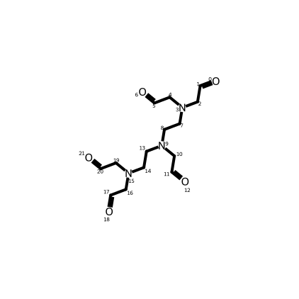 O=CCN(CC=O)CCN(CC=O)CCN(CC=O)CC=O